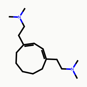 CN(C)CCC1=CC=C(CCN(C)C)CCCCC1